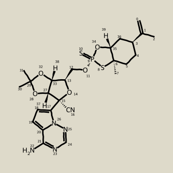 C=C(C)[C@H]1CC[C@@]2(C)S[P@](=S)(OC[C@H]3O[C@@](C#N)(c4ccc5c(N)ncnn45)[C@@H]4OC(C)(C)O[C@@H]43)O[C@@H]2C1